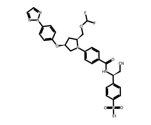 CCS(=O)(=O)c1ccc([C@H](CC#N)NC(=O)c2ccc(N3C[C@@H](Oc4ccc(-n5nccn5)cc4)C[C@H]3COC(F)F)cc2)cc1